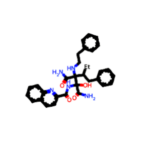 CCC(Cc1ccccc1)C(NCCc1ccccc1)(C(N)=O)C(O)(NC(=O)c1ccc2ccccc2n1)C(N)=O